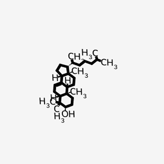 CC(C)CCCC(C)[C@H]1CC[C@H]2C3=CC[C@H]4C(C)(C)[C@@H](O)CC[C@]4(C)[C@H]3CC[C@]12C